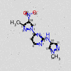 Cc1nn(-c2ccnc(Nc3cnn(C)c3)n2)cc1[N+](=O)[O-]